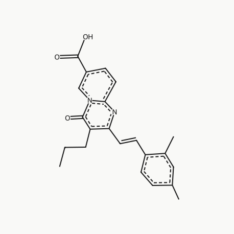 CCCc1c(C=Cc2ccc(C)cc2C)nc2ccc(C(=O)O)cn2c1=O